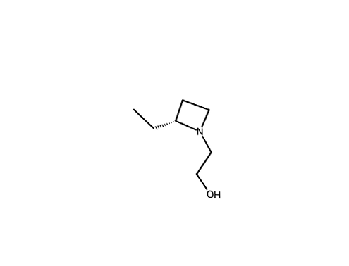 CC[C@@H]1CCN1CCO